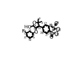 CC1(C)OC(O)C(Oc2cccc(F)c2)=C1c1ccc(S(=O)(=O)S(C)(=O)=O)cc1